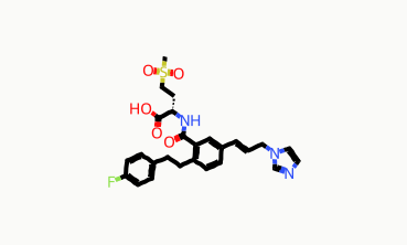 CS(=O)(=O)CC[C@H](NC(=O)c1cc(C=CCn2ccnc2)ccc1CCc1ccc(F)cc1)C(=O)O